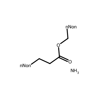 CCCCCCCCCCCC(=O)OCCCCCCCCCC.N